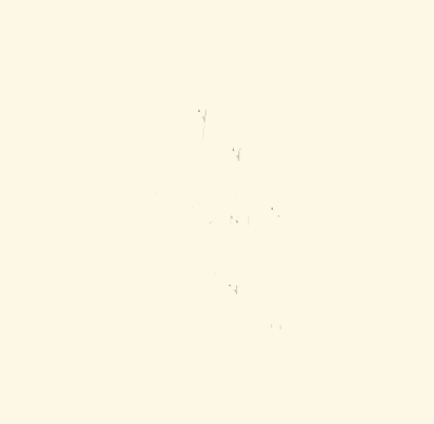 N#CC1(NC(=O)C(CC(=O)N2CCOCC2)CC2CCCCC2)CCN(Cc2cc3ccccc3[nH]2)C1